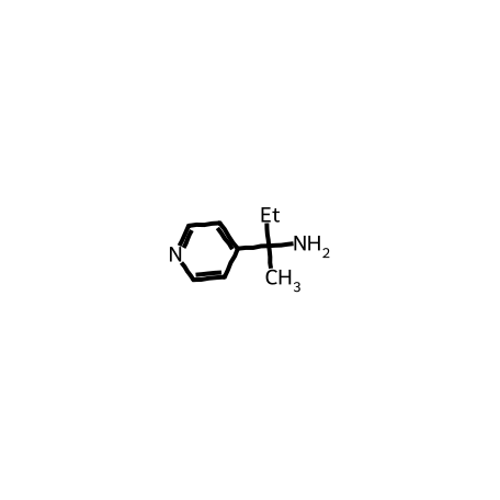 [CH2]CC(C)(N)c1ccncc1